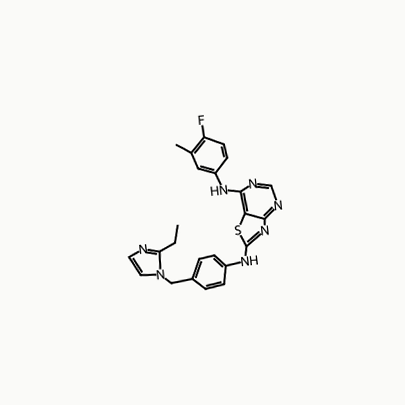 CCc1nccn1Cc1ccc(Nc2nc3ncnc(Nc4ccc(F)c(C)c4)c3s2)cc1